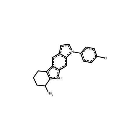 NC1CCCc2c1[nH]c1cc3c(ccn3-c3ccc(Cl)cc3)cc21